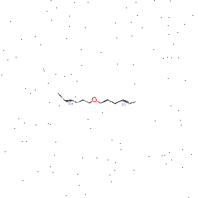 C/C=C/CCCOCCC/C=C/C